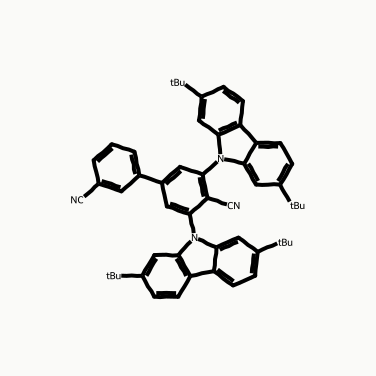 CC(C)(C)c1ccc2c3ccc(C(C)(C)C)cc3n(-c3cc(-c4cccc(C#N)c4)cc(-n4c5cc(C(C)(C)C)ccc5c5ccc(C(C)(C)C)cc54)c3C#N)c2c1